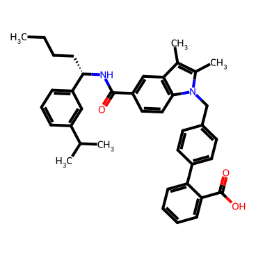 CCCC[C@H](NC(=O)c1ccc2c(c1)c(C)c(C)n2Cc1ccc(-c2ccccc2C(=O)O)cc1)c1cccc(C(C)C)c1